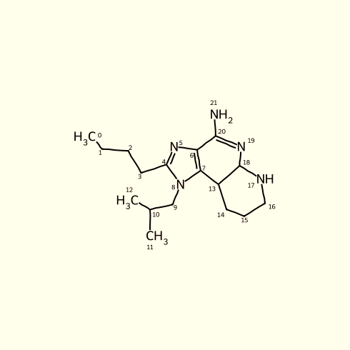 CCCCc1nc2c(n1CC(C)C)C1CCCNC1N=C2N